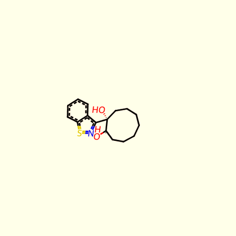 O[C]1CCCCCCC[C@]1(O)c1nsc2ccccc12